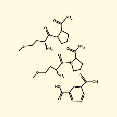 CSCC[C@H](N)C(=O)N1CCCC1C(N)=O.CSCC[C@H](N)C(=O)N1CCCC1C(N)=O.O=C(O)c1cccc(C(=O)O)c1